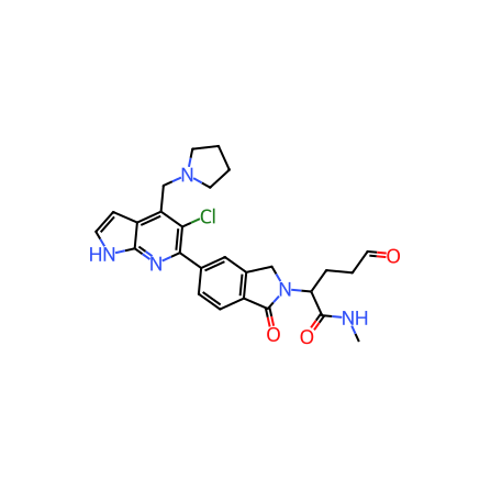 CNC(=O)C(CCC=O)N1Cc2cc(-c3nc4[nH]ccc4c(CN4CCCC4)c3Cl)ccc2C1=O